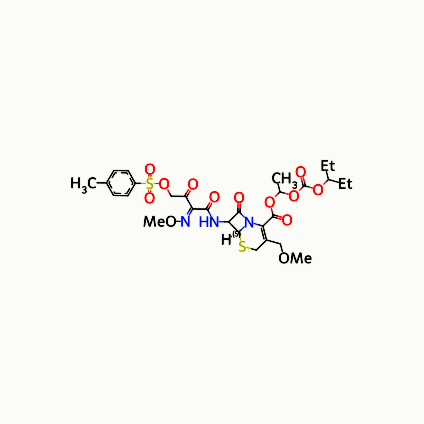 CCC(CC)OC(=O)OC(C)OC(=O)C1=C(COC)CS[C@H]2C(NC(=O)C(=NOC)C(=O)COS(=O)(=O)c3ccc(C)cc3)C(=O)N12